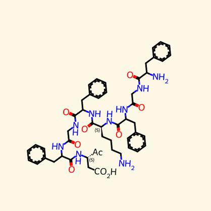 CC(=O)[C@H](CC(=O)O)NC(=O)C(Cc1ccccc1)NC(=O)CNC(=O)C(Cc1ccccc1)NC(=O)[C@H](CCCCN)NC(=O)C(Cc1ccccc1)NC(=O)CNC(=O)C(N)Cc1ccccc1